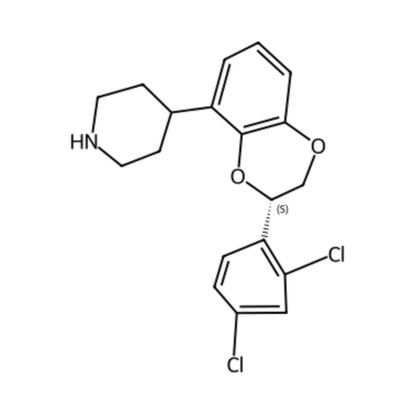 Clc1ccc([C@H]2COc3cccc(C4CCNCC4)c3O2)c(Cl)c1